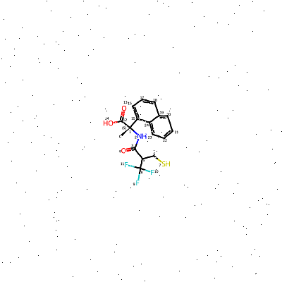 C[C@@](NC(=O)C(CS)C(F)(F)F)(C(=O)O)c1cccc2ccccc12